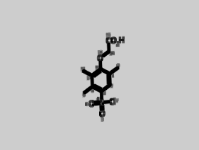 Cc1cc(S(=O)(=O)Cl)c(C)c(C)c1OCC(=O)O